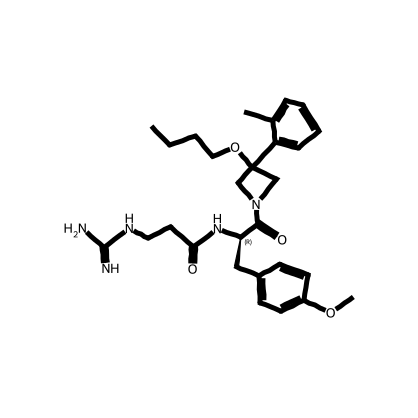 CCCCOC1(c2ccccc2C)CN(C(=O)[C@@H](Cc2ccc(OC)cc2)NC(=O)CCNC(=N)N)C1